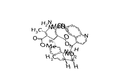 C=C[C@@H]1C[N@]2CC[C@H]1C[C@@H]2[C@@H](OC(=O)C1=C(C)N(N)C(C)=C(C(=O)OC)[C@H]1c1cccc([N+](=O)[O-])c1)c1ccnc2ccc(OC)cc12